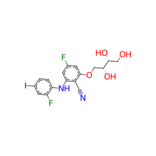 N#Cc1c(Nc2ccc(I)cc2F)cc(F)cc1OC[C@@H](O)[C@H](O)CO